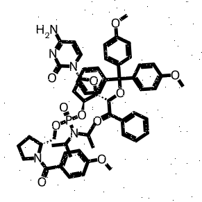 COc1ccc(C(=O)N2CCC[C@@H]2COP(=O)(O[C@H]2C[C@H](n3ccc(N)nc3=O)O[C@@H]2C(OC(c2ccccc2)(c2ccc(OC)cc2)c2ccc(OC)cc2)C(=O)c2ccccc2)N(C(C)C)C(C)C)cc1